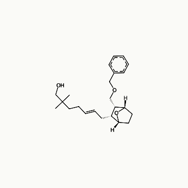 CC(C)(CO)CCC=CC[C@@H]1[C@H](COCc2ccccc2)[C@@H]2CC[C@H]1O2